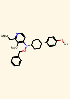 CCCOc1ccc([C@H]2CC[C@@H](N(OCc3ccccc3)c3ccnc(COC)c3OC)CC2)cc1